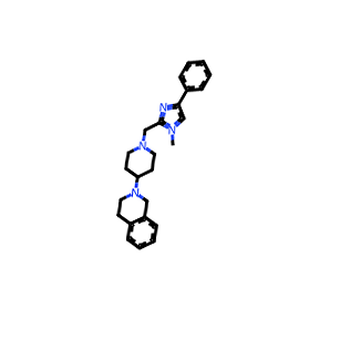 Cn1cc(-c2ccccc2)nc1CN1CCC(N2CCc3ccccc3C2)CC1